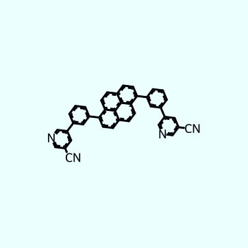 N#Cc1cncc(-c2cccc(-c3ccc4ccc5c(-c6cccc(-c7cncc(C#N)c7)c6)ccc6ccc3c4c65)c2)c1